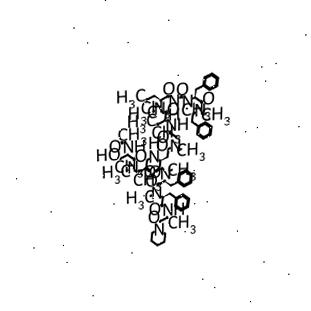 CC(=O)N[C@H](C(=O)N(C)[C@@H](C)C(=O)CN[C@@H](CC(=O)N(C)CC(=O)N[C@H](C(=O)N(C)[C@@H](CC(C)C)C(=O)NC(=O)N(C)[C@@H](Cc1ccccc1)C(=O)N(C)CCc1ccccc1)C(C)C)C(=O)N(C)[C@@H](Cc1ccccc1)C(=O)N(C)[C@@H](Cc1ccccc1)C(=O)N[C@@H](C)C(=O)N1CCCCC1)[C@@H](C)O